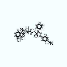 N#Cc1ccc(CCN(C(=O)CCCNCS(=O)(=O)c2cccc(Cl)c2Cl)c2ccccc2)cc1